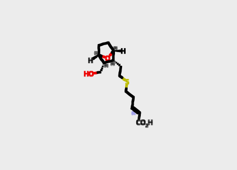 O=C(O)/C=C/CCSCC[C@@H]1[C@H](CO)[C@@H]2CC[C@H]1O2